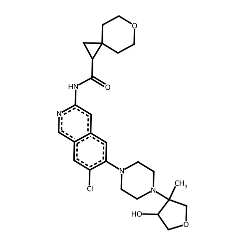 CC1(N2CCN(c3cc4cc(NC(=O)C5CC56CCOCC6)ncc4cc3Cl)CC2)COCC1O